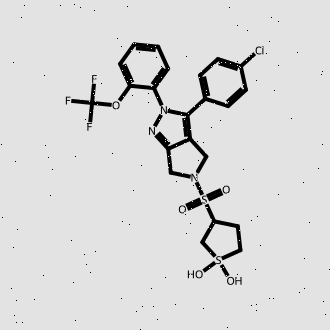 O=S(=O)(C1CCS(O)(O)C1)N1Cc2nn(-c3ccccc3OC(F)(F)F)c(-c3ccc(Cl)cc3)c2C1